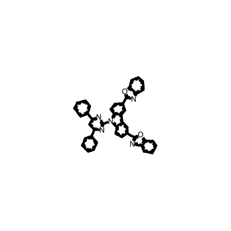 c1ccc(-c2cc(-c3ccccc3)nc(-n3c4ccc(-c5nc6ccccc6o5)cc4c4cc(-c5nc6ccccc6o5)ccc43)n2)cc1